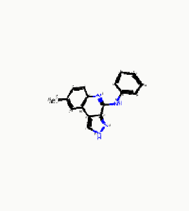 COc1ccc2nc(Nc3cc[c]cc3)c3n[nH]cc3c2c1